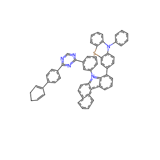 C1=CC(c2ccc(-c3ncnc(-c4cccc(-n5c6ccc7ccccc7c6c6cccc(-c7ccc8c(c7)Sc7ccccc7N8c7ccccc7)c65)c4)n3)cc2)=CCC1